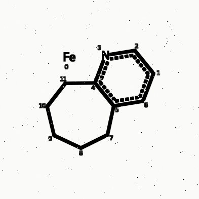 [Fe].c1cnc2c(c1)CCCCC2